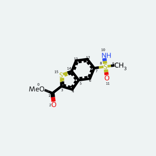 COC(=O)c1cc2cc(S(C)(=N)=O)ccc2s1